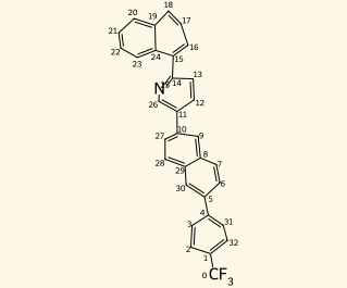 FC(F)(F)c1ccc(-c2ccc3cc(-c4ccc(-c5cccc6ccccc56)nc4)ccc3c2)cc1